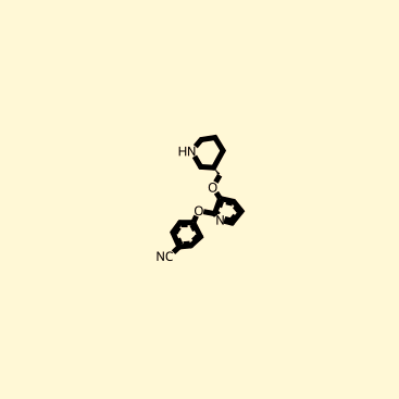 N#Cc1ccc(Oc2ncccc2OC[C@H]2CCCNC2)cc1